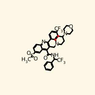 CS(=O)(=O)c1ccc2nc(-c3ccc(C(F)(F)F)cc3)c(CN3CCC(N4CCOCC4)CC3)c(C(=O)NC(c3ccccc3)C(F)(F)F)c2c1